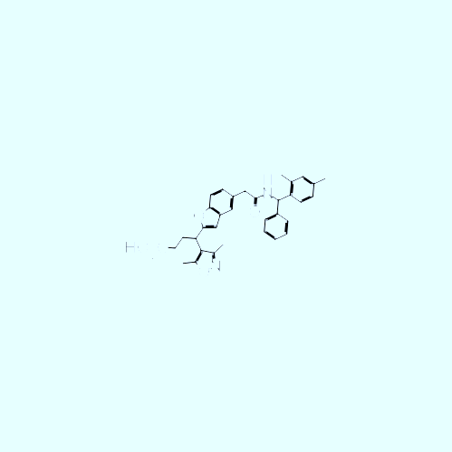 Cc1ccc(C(NC(=O)Cc2ccc3oc(C(CCC(=O)O)c4c(C)noc4C)cc3c2)c2ccccc2)c(C)c1